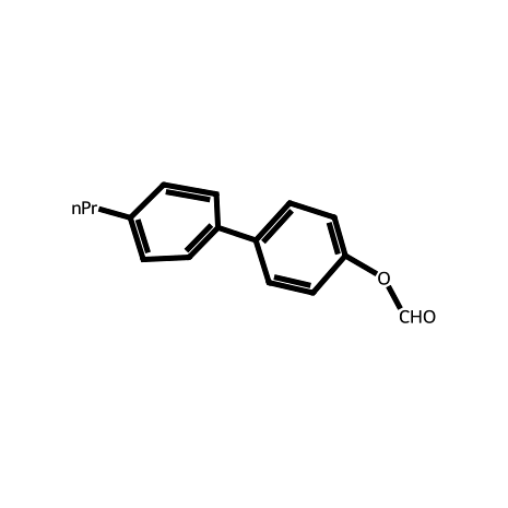 CCCc1ccc(-c2ccc(OC=O)cc2)cc1